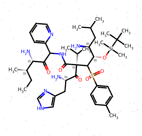 CC[C@H](C)[C@H](N)C(=O)C(NC(=O)[C@@](C(=O)[C@@H](N)Cc1c[nH]cn1)(C(C)C)C([C@@H](O[Si](C)(C)C(C)(C)C)[C@@H](N)CC(C)C)S(=O)(=O)c1ccc(C)cc1)c1ccccn1